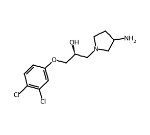 NC1CCN(C[C@H](O)COc2ccc(Cl)c(Cl)c2)C1